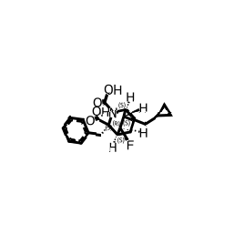 O=C(O)N1[C@H]2CC[C@H]([C@H](F)[C@H]2CC2CC2)[C@@]1(Cc1ccccc1)C(=O)O